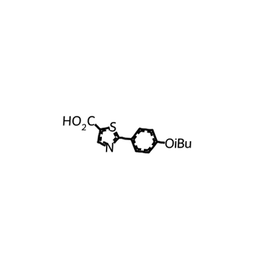 CC(C)COc1ccc(-c2ncc(C(=O)O)s2)cc1